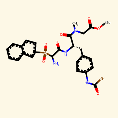 CN(CC(=O)OC(C)(C)C)C(=O)[C@H](Cc1ccc(NC(=O)S)cc1)NC(=O)C(N)S(=O)(=O)c1ccc2ccccc2c1